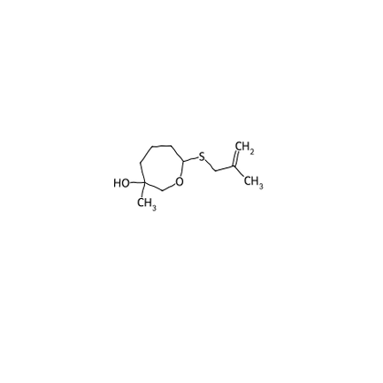 C=C(C)CSC1CCCC(C)(O)CO1